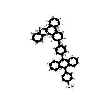 N#Cc1ccc(-c2c3ccccc3c(-c3ccc(-c4ccc5c6ccccc6c6nc7ccccc7n6c5c4)cc3)c3ccccc23)cc1